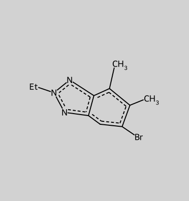 CCn1nc2cc(Br)c(C)c(C)c2n1